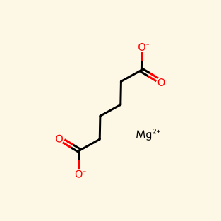 O=C([O-])CCCCC(=O)[O-].[Mg+2]